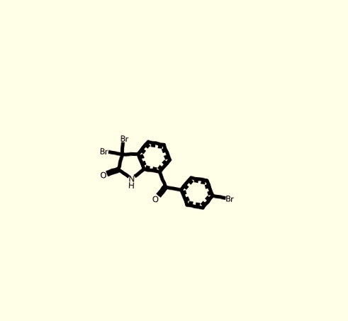 O=C(c1ccc(Br)cc1)c1cccc2c1NC(=O)C2(Br)Br